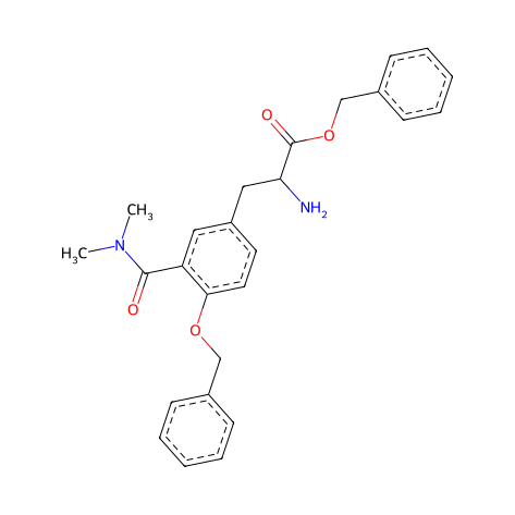 CN(C)C(=O)c1cc(CC(N)C(=O)OCc2ccccc2)ccc1OCc1ccccc1